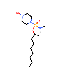 CCCCCCCC(C)OP(=O)(N(C)C)N1CCN(O)CC1